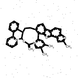 C=C1CC2C(CCc3ccc4c(oc5c6cc(C)sc6ccc45)c3-c3cc(C)c(C)c[n+]31)c1ccccc1-c1cccc[n+]12